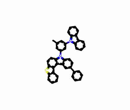 Cc1cc(-n2c3ccccc3c3ccccc32)cc(-n2c3ccc(-c4ccccc4)cc3c3c4c(ccc32)sc2ccccc24)c1